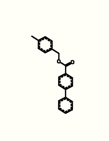 Cc1ccc(COC(=O)c2ccc(-c3ccccc3)cc2)cc1